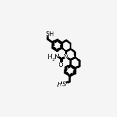 NC(=O)N1C2c3ccc(CS)cc3CCC2CC2CCc3cc(CS)ccc3C21